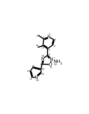 Cc1nccc(-c2noc(-c3cccnc3)n2)c1C.N